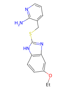 CCOc1ccc2[nH]c(SCc3cccnc3N)nc2c1